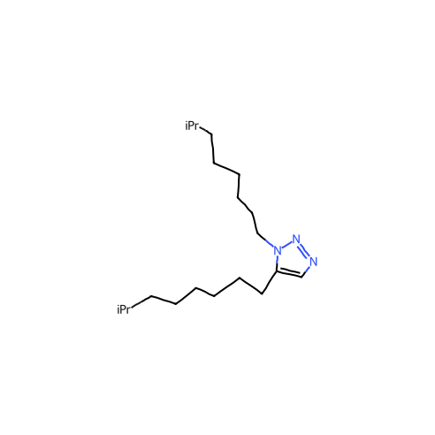 CC(C)CCCCCCc1cnnn1CCCCCCC(C)C